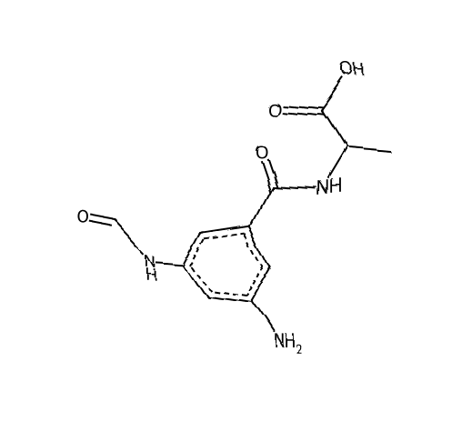 CC(NC(=O)c1cc(N)cc(NC=O)c1)C(=O)O